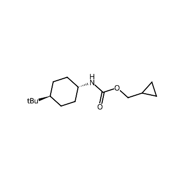 CC(C)(C)[C@H]1CC[C@H](NC(=O)OCC2CC2)CC1